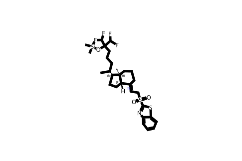 CC(CCCC(O[Si](C)(C)C)(C(F)F)C(F)F)[C@H]1CC[C@H]2/C(=C/CS(=O)(=O)c3nc4ccccc4s3)CCC[C@]12C